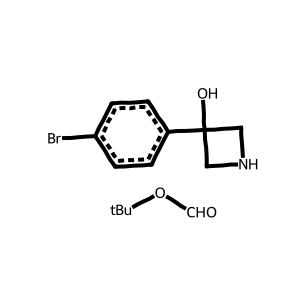 CC(C)(C)OC=O.OC1(c2ccc(Br)cc2)CNC1